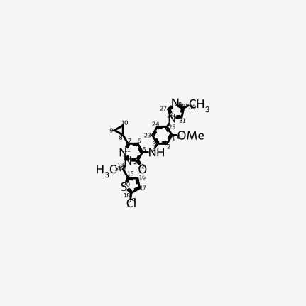 COc1cc(Nc2cc(C3CC3)nn([C@@H](C)c3ccc(Cl)s3)c2=O)ccc1-n1cnc(C)c1